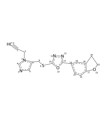 C#CCn1cncc1CSc1nnc(-c2ccc3c(c2)CCO3)o1